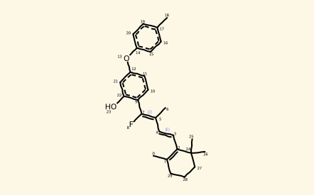 CC1=C(/C=C/C(C)=C(\F)c2ccc(Oc3ccc(C)cc3)cc2O)C(C)(C)CCC1